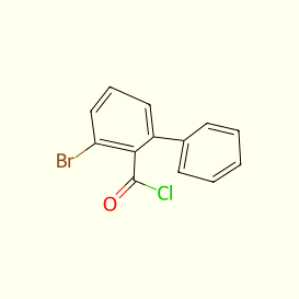 O=C(Cl)c1c(Br)cccc1-c1ccccc1